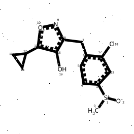 C[S+]([O-])c1ccc(Cc2noc(C3CC3)c2O)c(Cl)c1